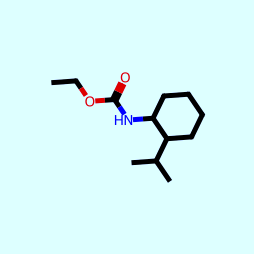 CCOC(=O)NC1CCCCC1C(C)C